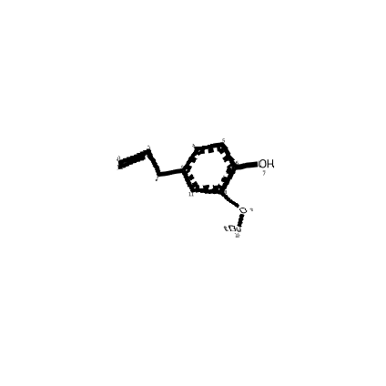 C=CCc1ccc(O)c(OC(C)(C)C)c1